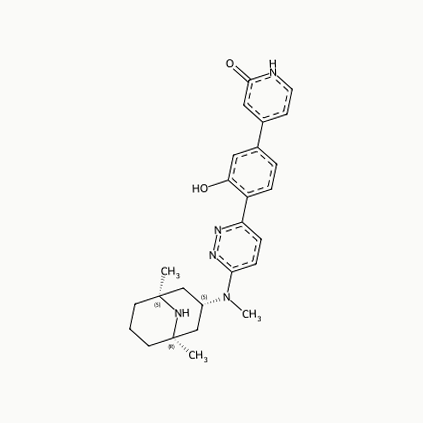 CN(c1ccc(-c2ccc(-c3cc[nH]c(=O)c3)cc2O)nn1)[C@H]1C[C@]2(C)CCC[C@](C)(C1)N2